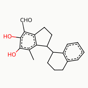 Cc1c(O)c(O)c(C=O)c2c1C(C1CCCc3ccccc31)CC2